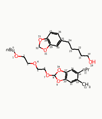 CCCCOCCOCCOC1Oc2cc(C)c(CCC)cc2O1.OCCCCCc1ccc2c(c1)OCO2